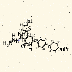 CCCC1CCC(c2ccc(-c3cc(-c4ccc(CC)s4)c(/C(N)=N/NN)c(=O)[nH]3)cc2)CC1